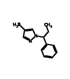 Bc1cnn(C(CC)c2ccccc2)c1